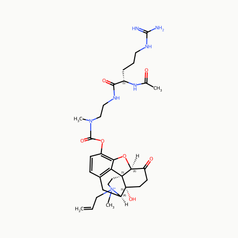 C=CC[N+]1(C)CC[C@]23c4c5ccc(OC(=O)N(C)CCNC(=O)[C@H](CCCNC(=N)N)NC(C)=O)c4O[C@H]2C(=O)CC[C@@]3(O)[C@H]1C5